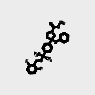 CC(C)(C)OC(=O)N1CCC(Sc2ccccc2)(c2ccc(C(OCc3c(F)cccc3F)(C(F)(F)F)C(F)(F)F)cc2)C1